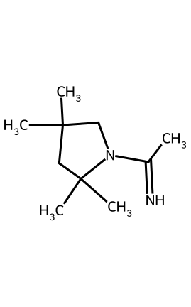 CC(=N)N1CC(C)(C)CC1(C)C